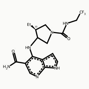 CC[C@H]1CN(C(=O)NCC(F)(F)F)CC1Nc1c(C(N)=O)cnc2[nH]ccc12